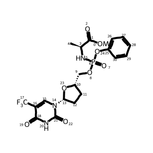 COC(=O)[C@H](C)NP(=O)(OC[C@@H]1CC[C@H](n2cc(C(F)(F)F)c(=O)[nH]c2=O)O1)Oc1ccccc1